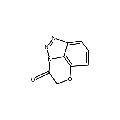 O=C1COc2cccc3nnn1c23